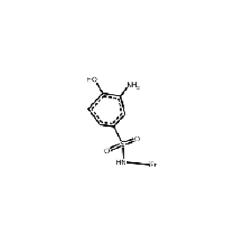 CC(C)NS(=O)(=O)c1ccc(O)c(N)c1